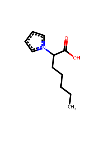 CCCCCC(C(=O)O)n1cccc1